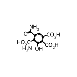 N.NC(=O)c1cc(C(=O)O)c(C(=O)O)c(O)c1C(=O)O